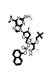 C[C@H](N[P@](=O)(OC[C@]1(F)C[C@H](C)[C@H](n2cnc3c(N(C)C)nc(N)nc32)O1)Oc1cccc2ccccc12)C(=O)OCC(C)(C)C